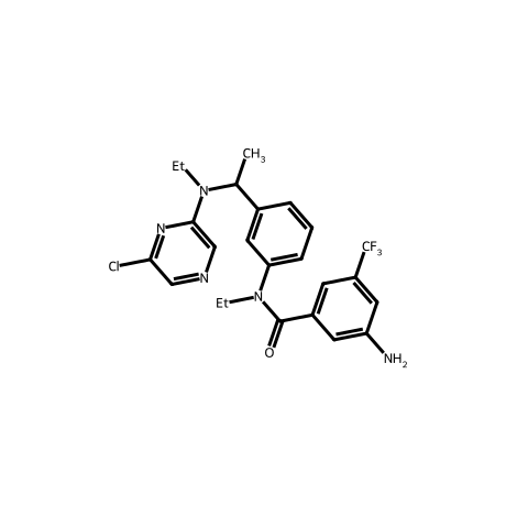 CCN(C(=O)c1cc(N)cc(C(F)(F)F)c1)c1cccc(C(C)N(CC)c2cncc(Cl)n2)c1